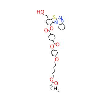 C=CC(=O)OCCCCCCOc1ccc(OC(=O)C2CCC(C(=O)Oc3ccc(CCO)c4sc(/N=N\c5ccccc5)nc34)CC2)cc1